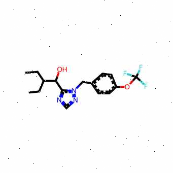 CCC(CC)C(O)c1ncnn1Cc1ccc(OC(F)(F)F)cc1